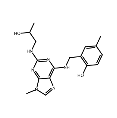 Cc1ccc(O)c(CNc2nc(NCC(C)O)nc3c2ncn3C)c1